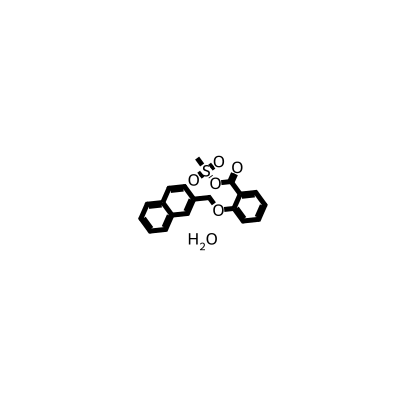 CS(=O)(=O)OC(=O)c1ccccc1OCc1ccc2ccccc2c1.O